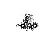 COc1ccc(Cl)cc1-c1nn(CC(C)(C)O)cc1NC(=O)c1c(N)nn2cccnc12